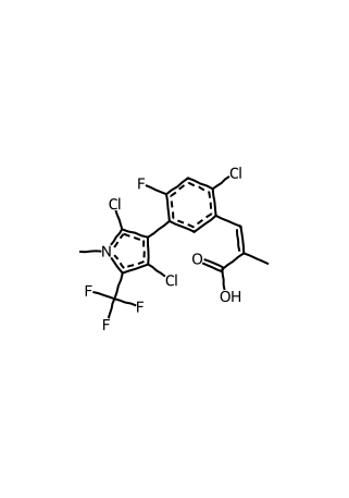 CC(=Cc1cc(-c2c(Cl)c(C(F)(F)F)n(C)c2Cl)c(F)cc1Cl)C(=O)O